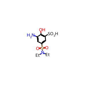 CCN(CC)S(=O)(=O)c1cc(N)c(O)c(S(=O)(=O)O)c1